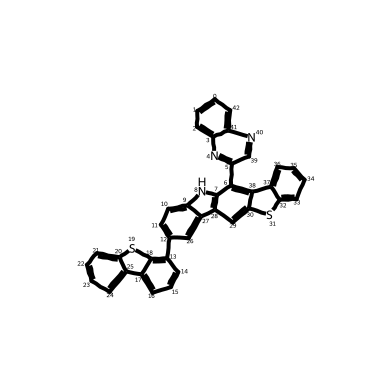 c1ccc2nc(-c3c4[nH]c5ccc(-c6cccc7c6sc6ccccc67)cc5c4cc4sc5ccccc5c34)cnc2c1